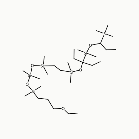 CCOCCC[Si](C)(C)O[Si](C)(C)O[Si](C)(C)CC[Si](C)(C)OC(CC)(CC)[Si](C)(C)OC(CC)[Si](C)(C)C